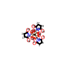 O=C1CCC(=O)N1S(=O)(=O)C(S(=O)(=O)N1C(=O)CCC1=O)S(=O)(=O)N1C(=O)CCC1=O